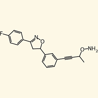 CC(C#Cc1cccc(C2CC(c3ccc(F)cc3)=NO2)c1)ON